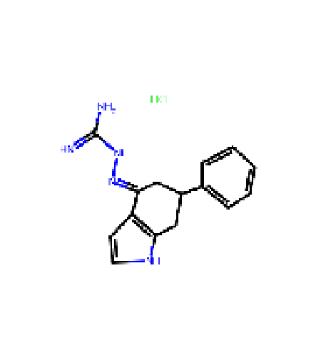 Cl.N=C(N)NN=C1CC(c2ccccc2)Cc2[nH]ccc21